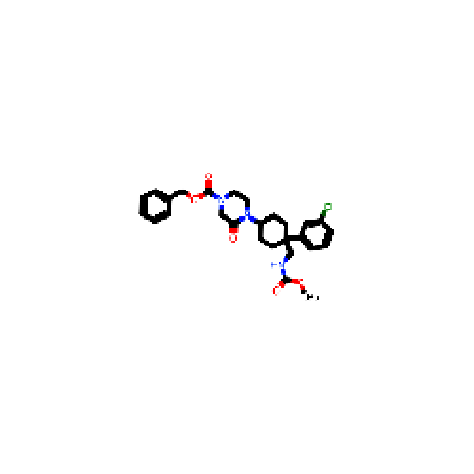 CC(C)(C)OC(=O)NCC1(c2cccc(Cl)c2)CCC(N2CCN(C(=O)OCc3ccccc3)CC2=O)CC1